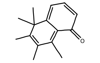 CC1=C2C(=O)C=CC=C2C(C)(C)C(C)=C1C